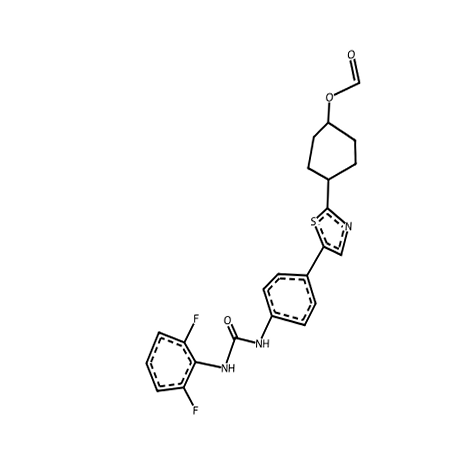 O=COC1CCC(c2ncc(-c3ccc(NC(=O)Nc4c(F)cccc4F)cc3)s2)CC1